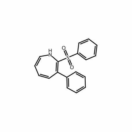 O=S(=O)(C1=C(c2ccccc2)C=CC=CN1)c1ccccc1